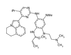 C=CC(=O)Nc1cc(Nc2ncc(C(C)C)c(-c3cn4c5c(cccc35)CCC4)n2)c(NC)cc1N(C)CCN(C)C